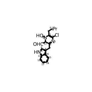 CC(C)CC1=C(Cl)N=C(Cc2c[nH]c3ccccc23)C(C=O)N1O